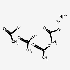 CC(=O)[O-].CC(=O)[O-].CC(=O)[O-].CC(=O)[O-].[Hf+4].[Zr]